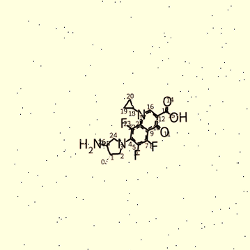 C[C@H]1CN(c2c(F)c(F)c3c(=O)c(C(=O)O)cn(C4CC4)c3c2F)C[C@@H]1N